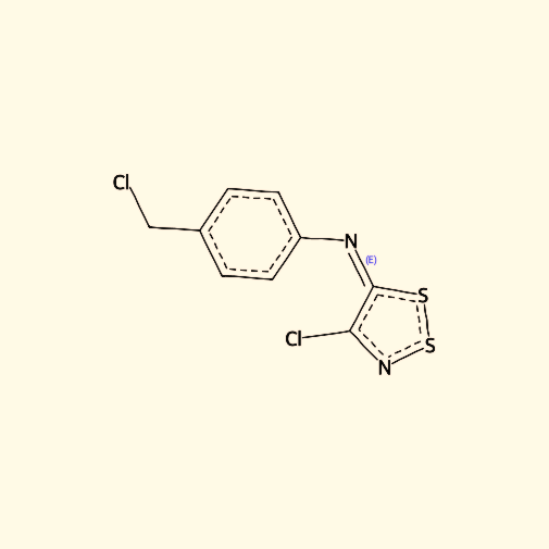 ClCc1ccc(/N=c2/ssnc2Cl)cc1